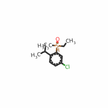 CC[SH](C)(=O)c1cc(Cl)ccc1C(C)C